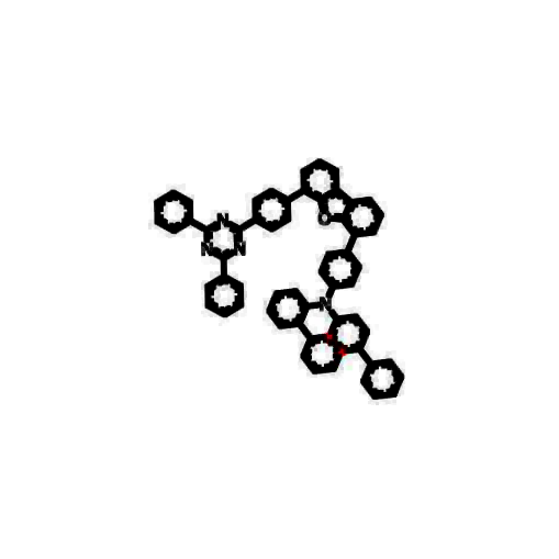 c1ccc(-c2ccc(N(c3ccc(-c4cccc5c4oc4c(-c6ccc(-c7nc(-c8ccccc8)nc(-c8ccccc8)n7)cc6)cccc45)cc3)c3ccccc3-c3ccccc3)cc2)cc1